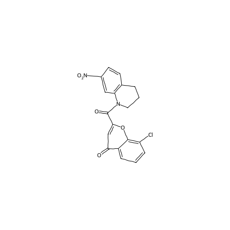 O=C(c1cc(=O)c2cccc(Cl)c2o1)N1CCCc2ccc([N+](=O)[O-])cc21